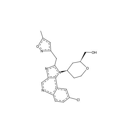 Cc1cc(Cc2nc3cnc4ccc(Cl)cc4c3n2[C@@H]2CCO[C@H](CO)C2)no1